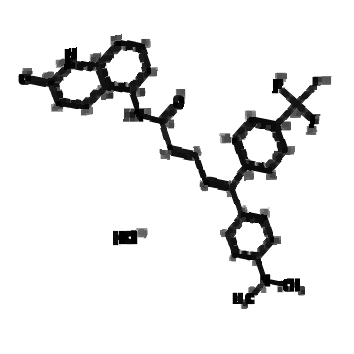 CN(C)c1ccc(/C(=C/C=C/C(=O)Nc2cccc3[nH]c(=O)ccc23)c2ccc(C(F)(F)F)cc2)cc1.Cl